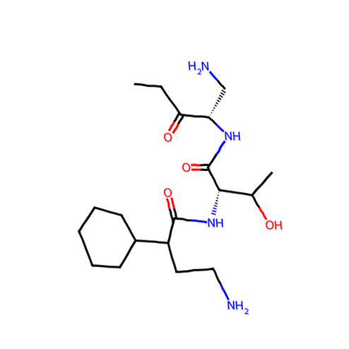 CCC(=O)[C@H](CN)NC(=O)[C@@H](NC(=O)C(CCN)C1CCCCC1)C(C)O